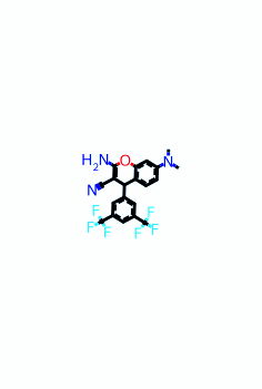 CN(C)c1ccc2c(c1)OC(N)=C(C#N)C2c1cc(C(F)(F)F)cc(C(F)(F)F)c1